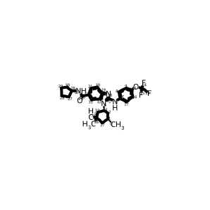 C[C@@H]1C[C@H](n2c(Nc3ccc(OC(F)(F)F)cc3)nc3ccc(C(=O)NC4CCCC4)cc32)CC(C)(C)C1